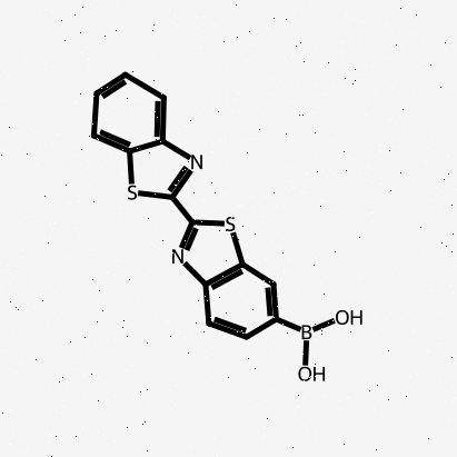 OB(O)c1ccc2nc(-c3nc4ccccc4s3)sc2c1